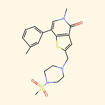 Cc1cccc(-c2cn(C)c(=O)c3cc(CN4CCN(S(C)(=O)=O)CC4)sc23)c1